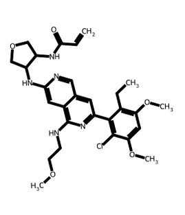 C=CC(=O)NC1COCC1Nc1cc2c(NCCOC)nc(-c3c(Cl)c(OC)cc(OC)c3CC)cc2cn1